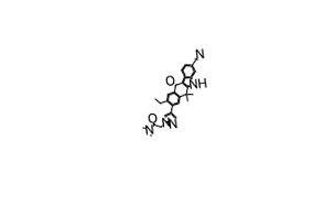 CCc1cc2c(cc1-c1cnn(CC(=O)N(C)C)c1)C(C)(C)c1[nH]c3cc(C#N)ccc3c1C2=O